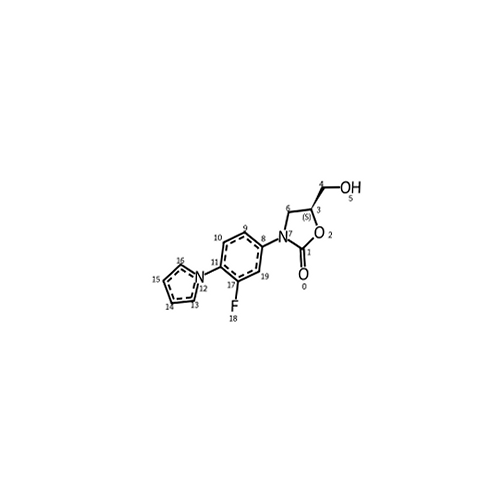 O=C1O[C@H](CO)CN1c1ccc(-n2cccc2)c(F)c1